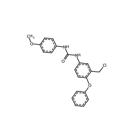 COc1ccc(NC(=O)Nc2ccc(Oc3ccccc3)c(CCl)c2)cc1